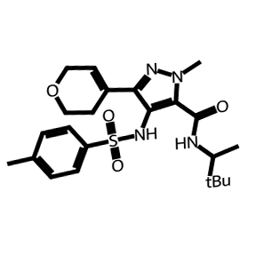 Cc1ccc(S(=O)(=O)Nc2c(C3=CCOCC3)nn(C)c2C(=O)NC(C)C(C)(C)C)cc1